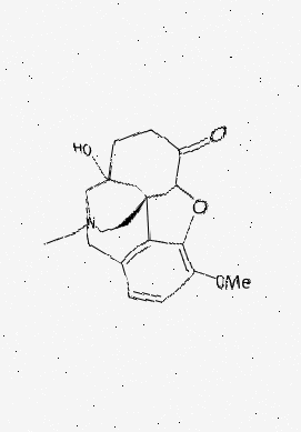 COc1ccc2c3c1OC1C(=O)CCC4(O)C(C2)N(C)CC[C@]314